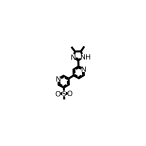 CC1N=C(c2cc(-c3cncc(S(C)(=O)=O)c3)ccn2)NC1C